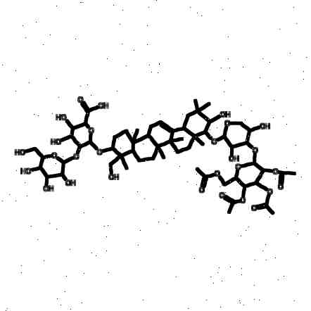 CC(=O)OCC1OC(OC2C(O)COC(OC3C(O)C(C)(C)CC4C5=CCC6C7(C)CCC(OC8OC(C(=O)O)C(O)C(O)C8OC8OC(CO)C(O)C(O)C8O)C(C)(CO)C7CCC6(C)C5(C)CCC43C)C2O)C(OC(C)=O)C(OC(C)=O)C1OC(C)=O